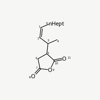 CCCCCCC/C=C\C(C)C1CC(=O)OC1=O